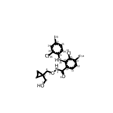 O=C(NOCC1(CO)CC1)c1ccc(F)c(Cl)c1Nc1ccc(I)cc1Cl